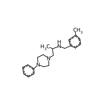 Cc1cc[c]c(CNC(C)CN2CCN(c3ccccc3)CC2)c1